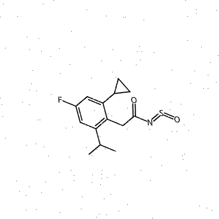 CC(C)c1cc(F)cc(C2CC2)c1CC(=O)N=S=O